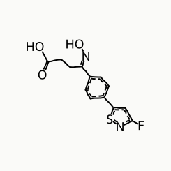 O=C(O)CC/C(=N\O)c1ccc(-c2cc(F)ns2)cc1